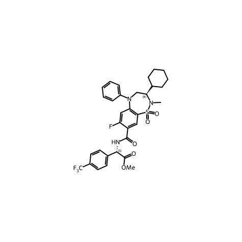 COC(=O)[C@@H](NC(=O)c1cc2c(cc1F)N(c1ccccc1)C[C@@H](C1CCCCC1)N(C)S2(=O)=O)c1ccc(C(F)(F)F)cc1